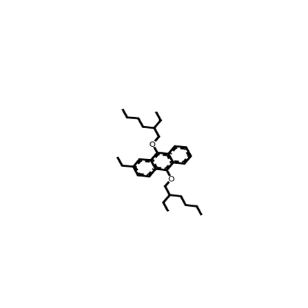 CCCCC(CC)COc1c2ccccc2c(OCC(CC)CCCC)c2cc(CC)ccc12